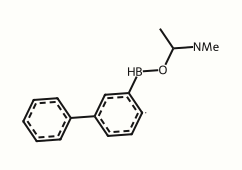 CNC(C)OBc1[c]ccc(-c2ccccc2)c1